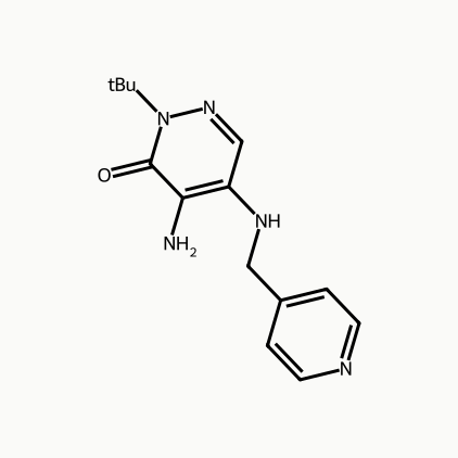 CC(C)(C)n1ncc(NCc2ccncc2)c(N)c1=O